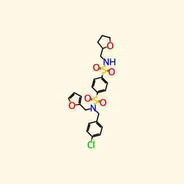 O=S(=O)(NCC1CCCO1)c1ccc(S(=O)(=O)N(Cc2ccc(Cl)cc2)Cc2ccco2)cc1